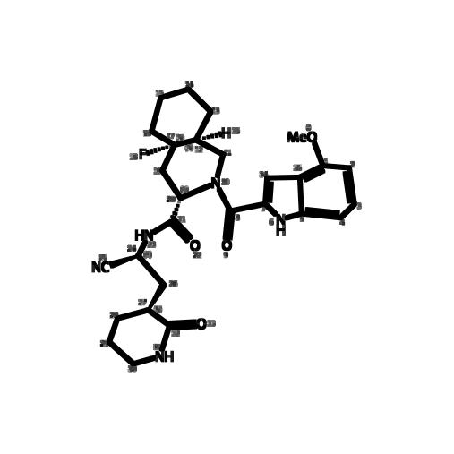 COc1cccc2[nH]c(C(=O)N3C[C@@H]4CCCC[C@]4(F)C[C@H]3C(=O)N[C@H](C#N)C[C@@H]3CCCNC3=O)cc12